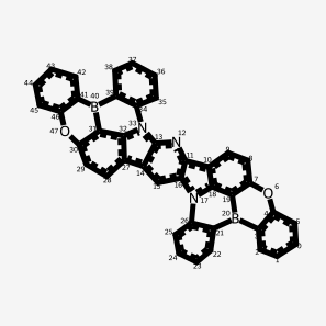 c1ccc2c(c1)Oc1ccc3c4nc5c(cc4n4c3c1B2c1ccccc1-4)c1ccc2c3c1n5-c1ccccc1B3c1ccccc1O2